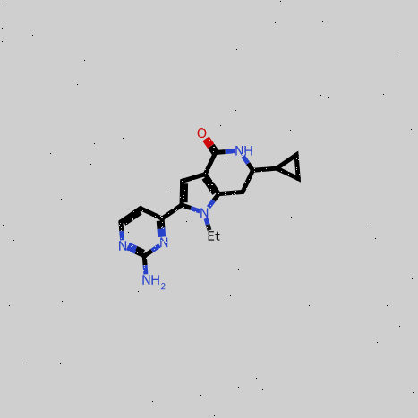 CCn1c(-c2ccnc(N)n2)cc2c1CC(C1CC1)NC2=O